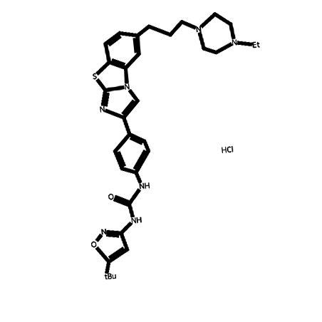 CCN1CCN(CCCc2ccc3sc4nc(-c5ccc(NC(=O)Nc6cc(C(C)(C)C)on6)cc5)cn4c3c2)CC1.Cl